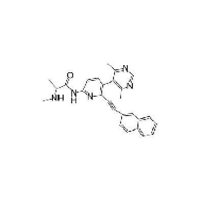 CNC(C)C(=O)Nc1ccc(-c2c(C)ncnc2C)c(C#Cc2ccc3ccccc3c2)n1